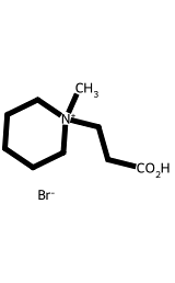 C[N+]1(CCC(=O)O)CCCCC1.[Br-]